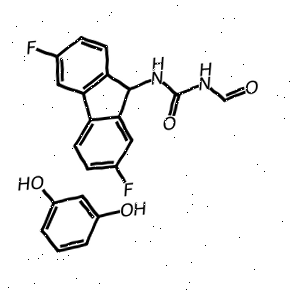 O=CNC(=O)NC1c2ccc(F)cc2-c2ccc(F)cc21.Oc1cccc(O)c1